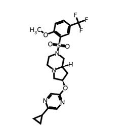 COc1ccc(C(F)(F)F)cc1S(=O)(=O)N1CCN2C[C@H](Oc3cnc(C4CC4)cn3)C[C@H]2C1